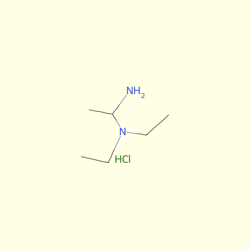 CCN(CC)C(C)N.Cl